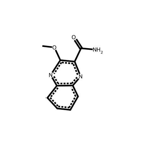 COc1nc2[c]cccc2nc1C(N)=O